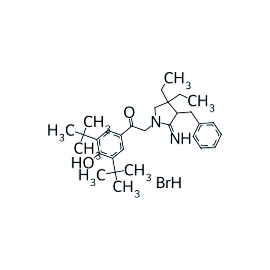 Br.CCC1(CC)CN(CC(=O)c2cc(C(C)(C)C)c(O)c(C(C)(C)C)c2)C(=N)C1Cc1ccccc1